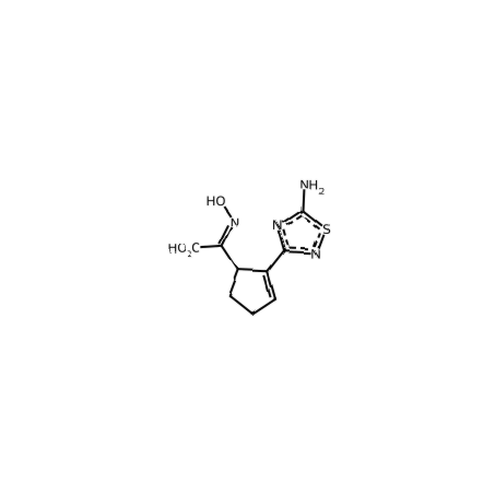 Nc1nc(C2=CCCC2C(=NO)C(=O)O)ns1